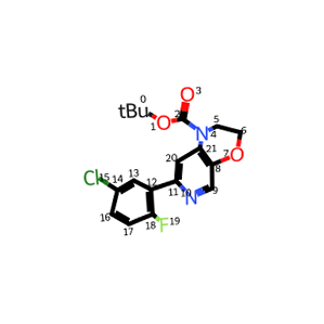 CC(C)(C)OC(=O)N1CCOc2cnc(-c3cc(Cl)ccc3F)cc21